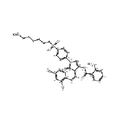 CCCCCCCCCCCCCCCCS(=O)(=O)c1ccc(N2N=C(NC(=O)c3ccccc3S(=O)(=O)O)C(/N=N\c3ccc(O)cc3Cl)C2=O)cc1